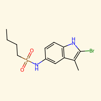 CCCCS(=O)(=O)Nc1ccc2[nH]c(Br)c(C)c2c1